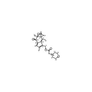 CC1=C(COC(=O)CN2CCOCC2)C2=C(C)C3(CC3)[C@@](C)(O)C(=O)C2=C1